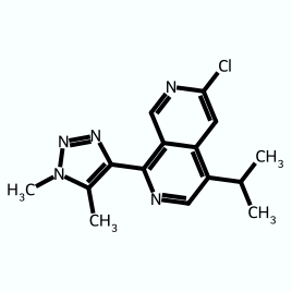 Cc1c(-c2ncc(C(C)C)c3cc(Cl)ncc23)nnn1C